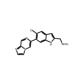 CC(=O)NCc1cc2cc(Cl)c(-c3cn4ccnc4cn3)cc2[nH]1